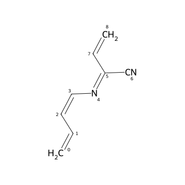 C=C/C=C\N=C(\C#N)C=C